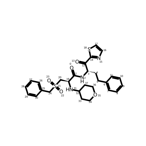 O=C(N[C@@H](CCc1ccccc1)C(=O)c1nccs1)[C@H](CS(=O)(=O)Cc1ccccc1)NC1CCOCC1